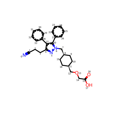 N#CCCc1nn(C[C@H]2CC[C@@H](COCC(=O)O)CC2)c(-c2ccccc2)c1-c1ccccc1